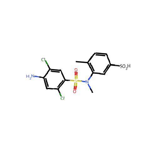 Cc1ccc(S(=O)(=O)O)cc1N(C)S(=O)(=O)c1cc(Cl)c(N)cc1Cl